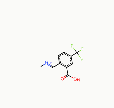 C/N=C/c1ccc(C(F)(F)F)cc1C(=O)O